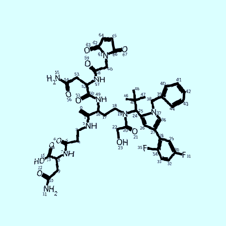 C=C(NCCC(=O)NC(CC(N)=O)C(=O)O)C(CCN(C(=O)CO)C(c1cc(-c2cc(F)ccc2F)cn1Cc1ccccc1)C(C)(C)C)NC(=O)C(CC(N)=O)NC(=O)CN1C(=O)C=CC1=O